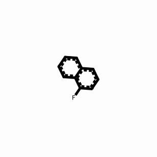 Fc1[c]ccc2ccccc12